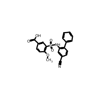 COc1ccc(C(=O)O)cc1S(=O)(=O)Nc1cc(C#N)ccc1-c1ccccc1